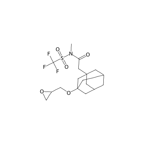 CN(C(=O)CC12CC3CC(C1)CC(OCC1CO1)(C3)C2)S(=O)(=O)C(F)(F)F